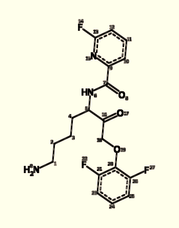 NCCCCC(NC(=O)c1cccc(F)n1)C(=O)COc1c(F)cccc1F